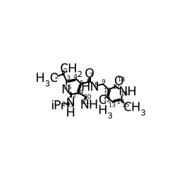 C=C(C)c1cc(C(=O)NCc2c(C)cc(C)[nH]c2=O)c(C=N)c(NC(C)C)n1